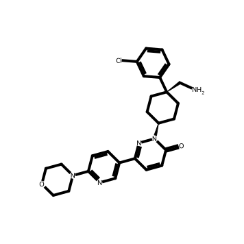 NC[C@]1(c2cccc(Cl)c2)CC[C@H](n2nc(-c3ccc(N4CCOCC4)nc3)ccc2=O)CC1